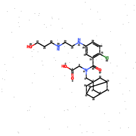 O=C(O)CN(CC12CC3CC(CC(C3)C1)C2)C(=O)c1cc(NCCNCCCO)ccc1Cl